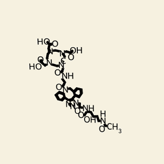 CC(=O)NCCCCC(NC(=O)Cn1nnc2c1-c1ccccc1CN(C(=O)CCNC(=O)CN1CCN(CC(=O)O)CCN(CC(=O)O)CCN(CC(=O)O)CC1)c1ccccc1-2)C(=O)O